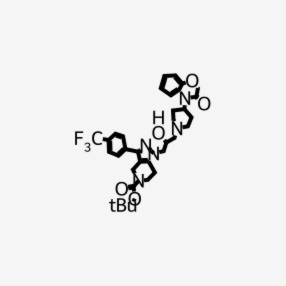 CC(C)(C)OC(=O)N1CCc2c(c(-c3ccc(C(F)(F)F)cc3)nn2CC(O)CN2CCC(N3C(=O)COc4ccccc43)CC2)C1